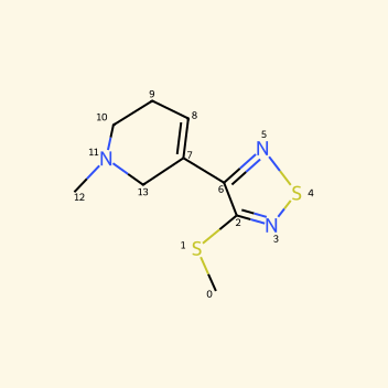 CSc1nsnc1C1=CCCN(C)C1